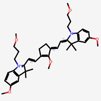 COCCCN1/C(=C/C=C2\CCC(/C=C/C3=[N+](CCCOC)c4ccc(OC)cc4C3(C)C)=C2OC)C(C)(C)c2cc(OC)ccc21